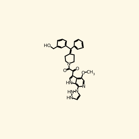 COc1cnc(N2C=CNN2)c2[nH]cc(C(=O)C(=O)N3CCC(=C(c4ccccc4)c4cccc(CO)c4)CC3)c12